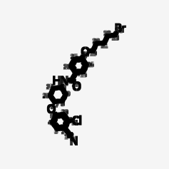 N#Cc1ccc(O[C@H]2CC[C@H](NC(=O)c3ccc(OCCCCCBr)cc3)CC2)cc1Cl